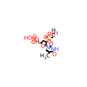 CCP(=O)(O)O[C@H]1C[C@@H](COP(=O)(O)O)O[C@H]1n1cc(C)c(=O)[nH]c1=O